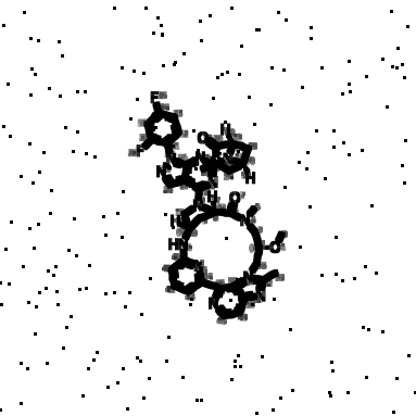 CO[C@H]1CN(C)C(=O)[C@@H]2C[C@@H](CN2c2nc(N3[C@@H]4C[C@H]3C(=O)N(C)C4)nc3c2cnn3-c2ccc(F)cc2F)Nc2cccc(n2)-c2nccc3nc(C)n(c23)C1